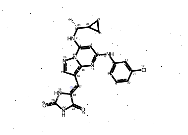 C[C@@H](Nc1cc(Nc2cccc(Cl)c2)nc2c(/C=C3\NC(=O)NC3=O)cnn12)C1CC1